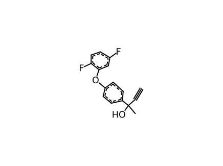 C#CC(C)(O)c1ccc(Oc2cc(F)ccc2F)cc1